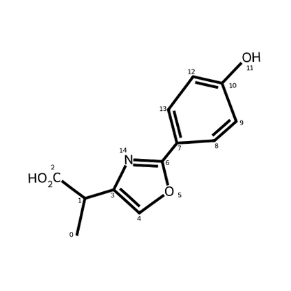 CC(C(=O)O)c1coc(-c2ccc(O)cc2)n1